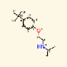 CC(C)NCCOc1ccc(C(C)(C)C)cc1